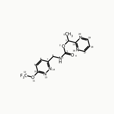 CC(OC(=O)NCc1ccc(OC(F)(F)F)nn1)c1ncccn1